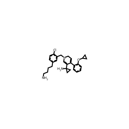 NCCCCc1ccc(Cl)c(CN2C=C(C3(N)CC3)C(c3ccccc3OC3CC3)=CC2)c1